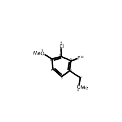 COCc1ccc(OC)c(Cl)c1F